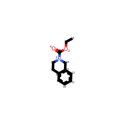 CCOC(=O)N1CCc2ccccc2C1